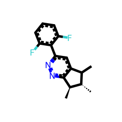 CC1c2cc(-c3c(F)cccc3F)nnc2[C@H](C)[C@H]1C